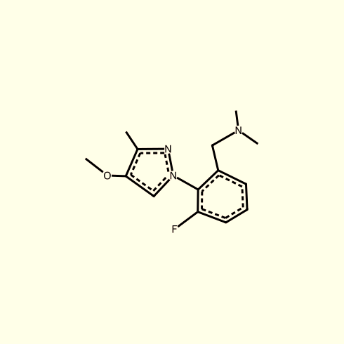 COc1cn(-c2c(F)cccc2CN(C)C)nc1C